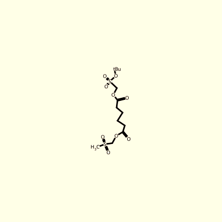 CC(C)(C)OS(=O)(=O)COC(=O)CCCCC(=O)OCS(C)(=O)=O